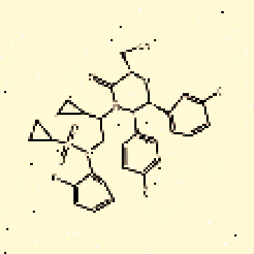 N#CC[C@H]1O[C@@H](c2cccc(Cl)c2)[C@@H](c2ccc(Cl)cc2)N(C(CN(c2ccccc2F)S(=O)(=O)C2CC2)C2CC2)C1=O